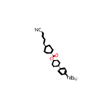 CCCCc1ccc([C@H]2CC[C@H](OC(=O)[C@H]3CC[C@H](CCC=CC#N)CC3)CC2)cc1